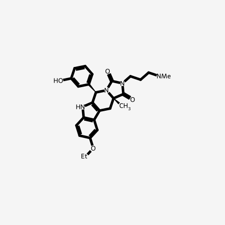 CCOc1ccc2[nH]c3c(c2c1)C[C@@]1(C)C(=O)N(CCCNC)C(=O)N1[C@@H]3c1cccc(O)c1